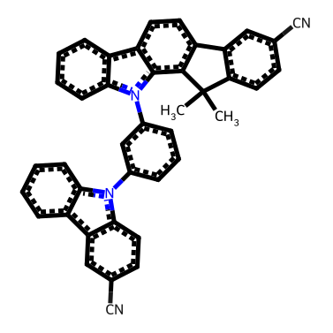 CC1(C)c2ccc(C#N)cc2-c2ccc3c4ccccc4n(-c4cccc(-n5c6ccccc6c6cc(C#N)ccc65)c4)c3c21